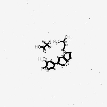 Cc1cc(-c2cnc3ccn(CCC(C)C)c3c2)ccc1F.O=C(O)C(F)(F)F